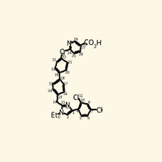 CCn1cc(-c2ccc(Cl)cc2Cl)nc1Cc1ccc(-c2ccc(Oc3ccc(C(=O)O)cn3)cc2)cc1